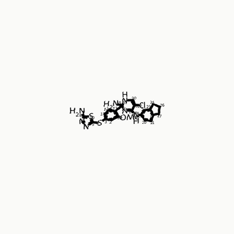 COc1cc(Sc2nnc(N)s2)ccc1C1(N)N=C(Nc2ccc3c(c2)CCC3)C(Cl)=CN1